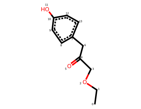 CCOCC(=O)Cc1ccc(O)cc1